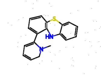 CN1CC=CC=C1c1cccc2c1Nc1ccccc1S2